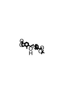 Cc1c(C(O)CN2CC3CCC2CN3C(=O)OC(C)(C)C)ccc2c1COC2=O